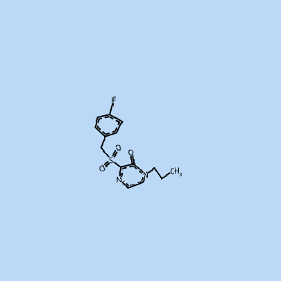 CCCn1ccnc(S(=O)(=O)Cc2ccc(F)cc2)c1=O